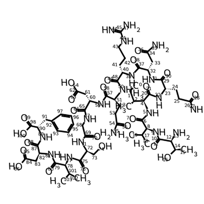 CC[C@H](C)[C@H](NC(=O)[C@@H](NC(=O)[C@@H](N)[C@@H](C)O)C(C)C)C(=O)N[C@@H](CCC(N)=O)C(=O)N[C@@H](CC(N)=O)C(=O)N[C@@H](CCCNC(=N)N)C(=O)N[C@@H](CCC(N)=O)C(=O)N[C@@H](CC(=O)O)C(=O)NCC(=O)N[C@@H](CO)C(=O)N[C@H](C(=O)N[C@@H](CC(=O)O)C(=O)N[C@@H](Cc1ccccc1)C(=O)O)C(C)C